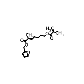 C=C(C)C(=O)OCCCCC=C(C)C(=O)OCc1ccco1